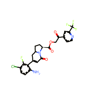 Nc1ccc(Cl)c(F)c1C1=CC(=O)N2C(CC[C@H]2C(=O)OCC(=O)c2ccnc(C(F)(F)F)c2)C1